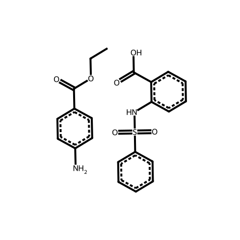 CCOC(=O)c1ccc(N)cc1.O=C(O)c1ccccc1NS(=O)(=O)c1ccccc1